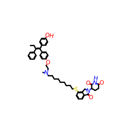 CCC(=C(c1ccc(O)cc1)c1ccc(OCCN(C)CCCCCCCCCSc2cccc3c2CN(C2CCC(=O)NC2=O)C3=O)cc1)c1ccccc1